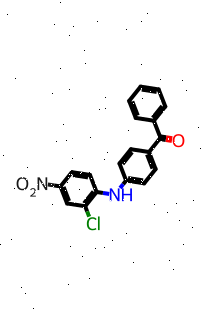 O=C(c1ccccc1)c1ccc(Nc2ccc([N+](=O)[O-])cc2Cl)cc1